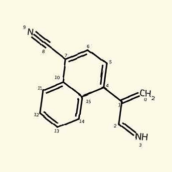 C=C(C=N)c1ccc(C#N)c2ccccc12